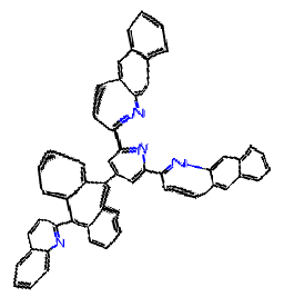 c1ccc2cc3nc(-c4cc(-c5c6ccccc6c(-c6ccc7ccccc7n6)c6ccccc56)cc(-c5ccc6cc7ccccc7cc6n5)n4)ccc3cc2c1